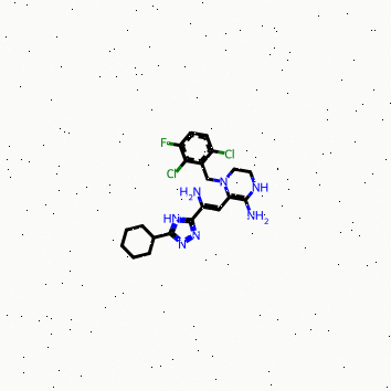 NC1=C(/C=C(\N)c2nnc(C3CCCCC3)[nH]2)N(Cc2c(Cl)ccc(F)c2Cl)CCN1